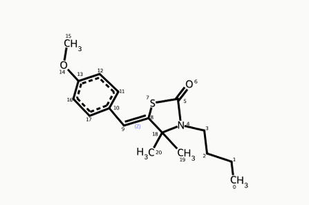 CCCCN1C(=O)S/C(=C\c2ccc(OC)cc2)C1(C)C